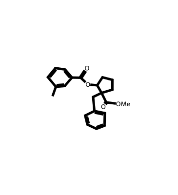 COC(=O)C1(Cc2ccccc2)CCCC1OC(=O)c1cccc(C)c1